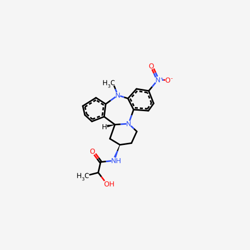 CC(O)C(=O)N[C@@H]1CCN2c3ccc([N+](=O)[O-])cc3N(C)c3ccccc3[C@H]2C1